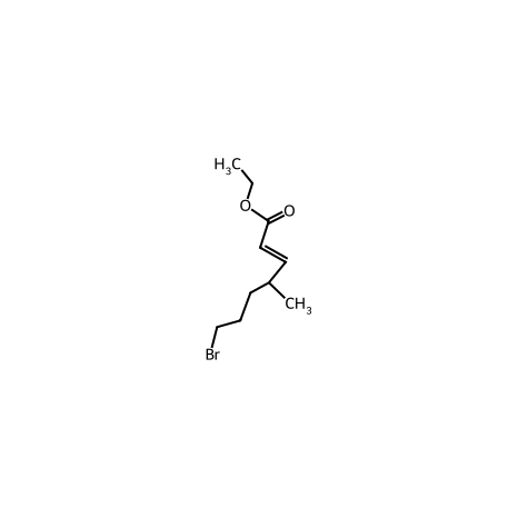 CCOC(=O)C=CC(C)CCCBr